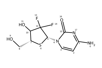 Nc1ccn([C@@H]2S[C@H](CO)C(O)C2(F)F)c(=O)n1